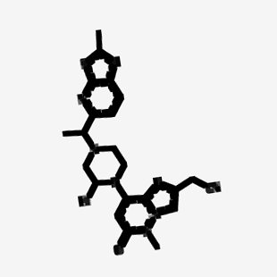 CCC1CN(C(C)c2ccc3nc(C)sc3n2)CCN1c1cc(=O)n(C)n2cc(CC#N)nc12